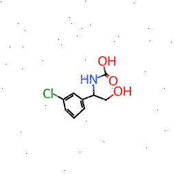 O=C(O)NC(CO)c1cccc(Cl)c1